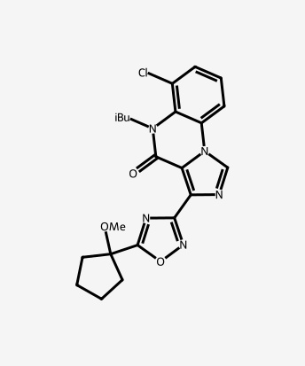 CCC(C)n1c(=O)c2c(-c3noc(C4(OC)CCCC4)n3)ncn2c2cccc(Cl)c21